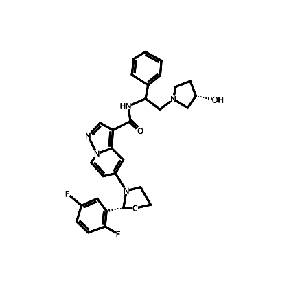 O=C(NC(CN1CC[C@H](O)C1)c1ccccc1)c1cnn2ccc(N3CCC[C@@H]3c3cc(F)ccc3F)cc12